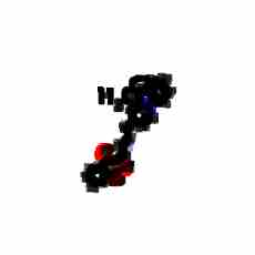 CC1(C)C2=C/C(=C/C=C/C=C3\C(=O)c4ccccc4S3(=O)=O)C=CN2c2ccccc21